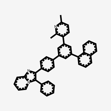 Cc1ccc(-c2cc(-c3ccc(-c4nc5ccccn5c4-c4ccccc4)cc3)cc(-c3cccc4ccccc34)c2)c(C)n1